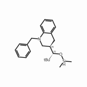 C[SiH](C)O[C@@H]([C@@H]1Cc2ccccc2N(Cc2ccccc2)C1)C(C)(C)C